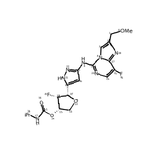 COCc1cn2c(Nc3cc([C@@H]4OC[C@H](OC(=O)NC(C)C)[C@@H]4F)[nH]n3)ncc(F)c2n1